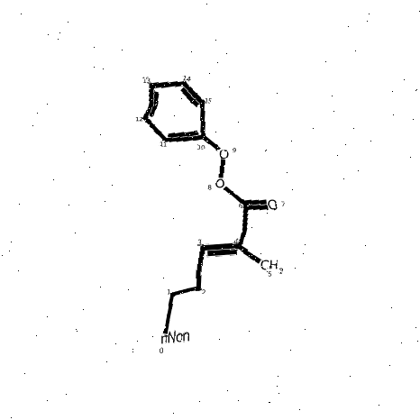 CCCCCCCCCCCC=C(C)C(=O)OOc1ccccc1